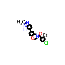 CCc1cc(Cl)ccc1C(=O)N1CCOc2ccc(-c3ccc4nc(C)[nH]c4c3)cc2C1